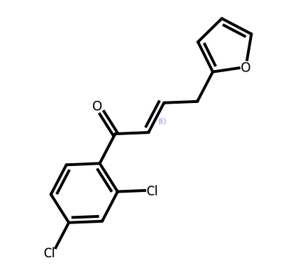 O=C(/C=C/Cc1ccco1)c1ccc(Cl)cc1Cl